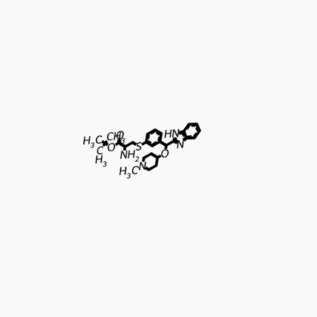 CN1CCC(OC(c2cccc(SCC(N)C(=O)OC(C)(C)C)c2)c2nc3ccccc3[nH]2)CC1